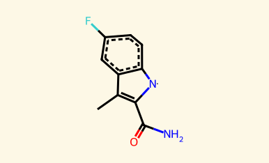 CC1=C(C(N)=O)[N]c2ccc(F)cc21